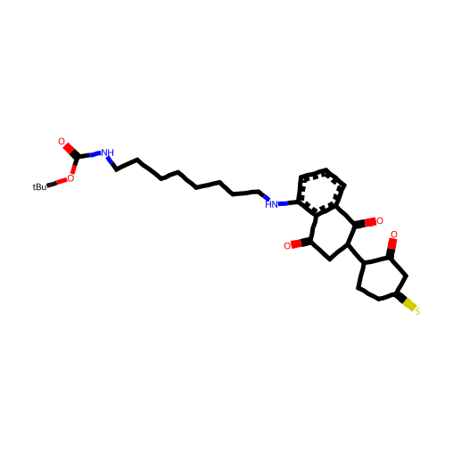 CC(C)(C)OC(=O)NCCCCCCCCNc1cccc2c1C(=O)CC(C1CCC(=S)CC1=O)C2=O